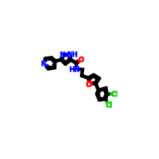 O=C(NCCc1ccc(-c2ccc(Cl)c(Cl)c2)o1)c1cc(-c2ccncc2)n[nH]1